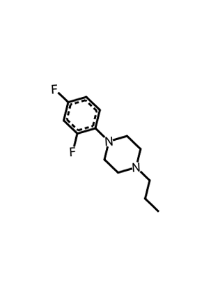 CCCN1CCN(c2ccc(F)cc2F)CC1